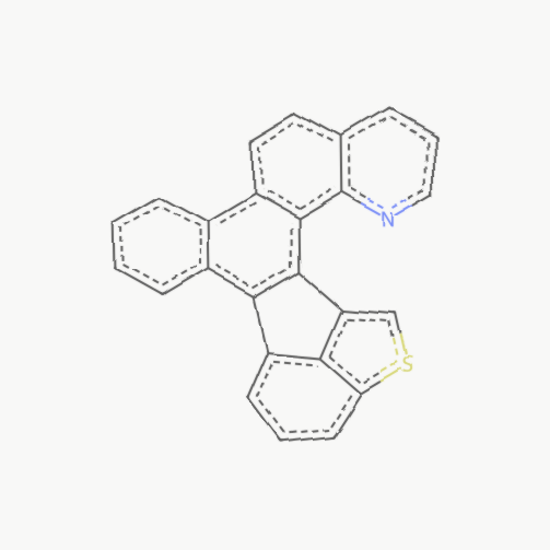 c1cnc2c(c1)ccc1c3ccccc3c3c(c12)-c1csc2cccc-3c12